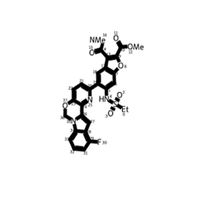 CCS(=O)(=O)Nc1cc2oc(C(=O)OC)c(C(=O)NC)c2cc1-c1ccc2c(n1)-c1cc3c(F)cccc3n1CO2